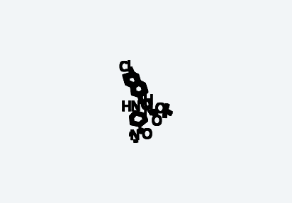 CN(C)C(=O)[C@H]1CC[C@H](NC(=O)c2ccc3cc(Cl)ccc3c2)[C@H](NC(=O)OC(C)(C)C)C1